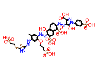 Cc1cc(N=Nc2c(S(=O)(=O)O)cc3c(S(=O)(=O)O)c(N=Nc4c(C(=O)O)nn(-c5ccc(S(=O)(=O)O)cc5)c4O)ccc3c2O)c(OCCCS(=O)(=O)O)cc1N=Nc1nnc(SCCS(=O)(=O)O)s1